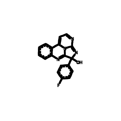 OC1(c2ccc(F)cc2)N=C2N=CC=C3c4ccccc4N=C1N32